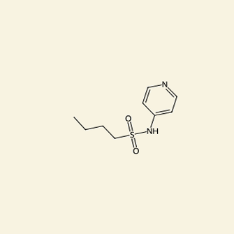 CCCCS(=O)(=O)Nc1ccncc1